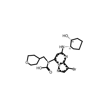 O=C(O)N(CC1CCOCC1)c1cc(N[C@H]2CCCC[C@H]2O)nc2c(Br)cnn12